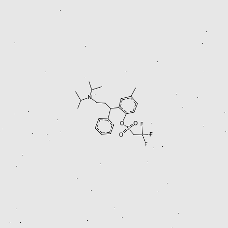 Cc1ccc(OS(=O)(=O)CC(F)(F)F)c(C(CCN(C(C)C)C(C)C)c2ccccc2)c1